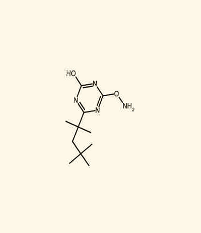 CC(C)(C)CC(C)(C)c1nc(O)nc(ON)n1